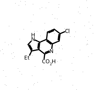 CCc1c[nH]c2c1c(C(=O)O)nc1cc(Cl)ccc12